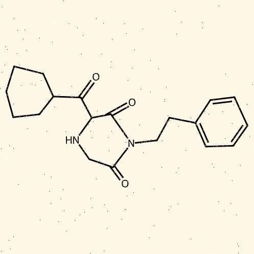 O=C(C1CCCCC1)C1NCC(=O)N(CCc2ccccc2)C1=O